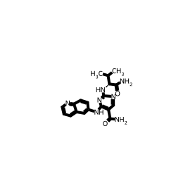 CC(C)[C@@H](Nc1ncc(C(N)=O)c(Nc2ccc3ncccc3c2)n1)C(N)=O